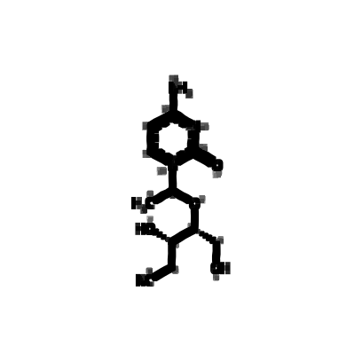 CC(O[C@H](CO)[C@@H](O)CC#N)n1ccc(N)nc1=O